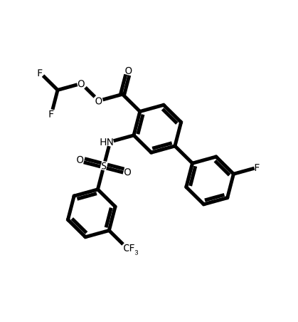 O=C(OOC(F)F)c1ccc(-c2cccc(F)c2)cc1NS(=O)(=O)c1cccc(C(F)(F)F)c1